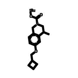 CC1CN(C(=O)OC(C)(C)C)Cc2ccc(OCC3CCC3)cc21